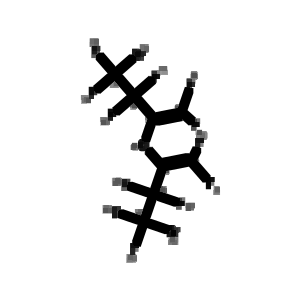 FC(F)=C(OC(=C(F)F)C(F)(F)C(F)(F)Br)C(F)(F)C(F)(F)Br